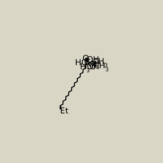 CC/C=C\CCCCCCCCCCCCCCCCCCC(O)(C[N+](C)(C)C)P(=O)(O)O